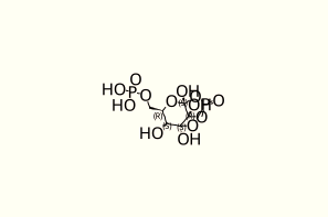 O=P(O)(O)OC[C@H]1O[C@]2(O)OP3(=O)O[C@]2(O)[C@@](O)(O3)[C@H]1O